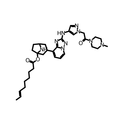 CC=CCCCCCC(=O)OC12CCC(CC(c3cccn4nc(Nc5cnn(CC(=O)N6CCN(C)CC6)c5)nc34)C1)N2